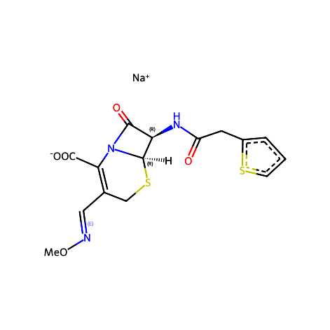 CO/N=C/C1=C(C(=O)[O-])N2C(=O)[C@@H](NC(=O)Cc3cccs3)[C@H]2SC1.[Na+]